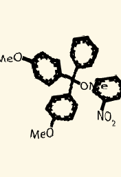 COc1ccc(C(OC)(c2ccccc2)c2ccc(OC)cc2)cc1.O=[N+]([O-])c1ccccc1